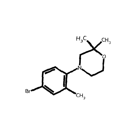 Cc1cc(Br)ccc1N1CCOC(C)(C)C1